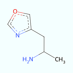 CC(N)Cc1cocn1